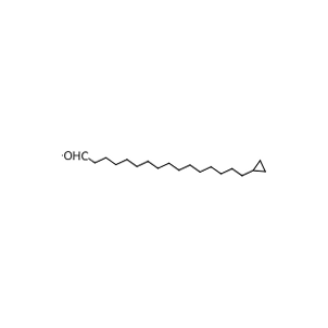 O=[C]CCCCCCCCCCCCCCCC1CC1